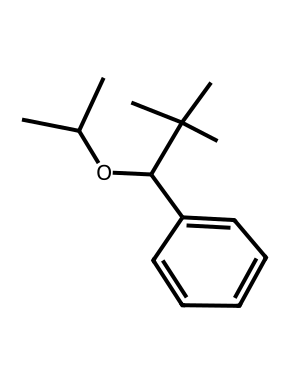 CC(C)OC(c1ccccc1)C(C)(C)C